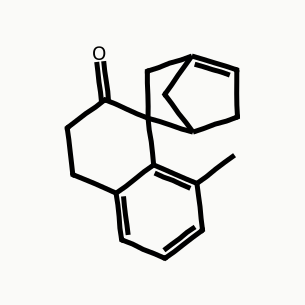 Cc1cccc2c1C1(CC3=CCC1C3)C(=O)CC2